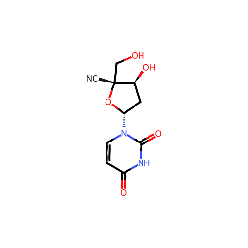 N#C[C@]1(CO)O[C@@H](n2ccc(=O)[nH]c2=O)C[C@@H]1O